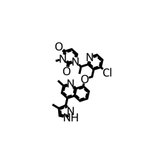 Cc1cc(-c2n[nH]cc2C)c2cccc(OCc3c(Cl)ccnc3C(C)n3ccc(=O)n(C)c3=O)c2n1